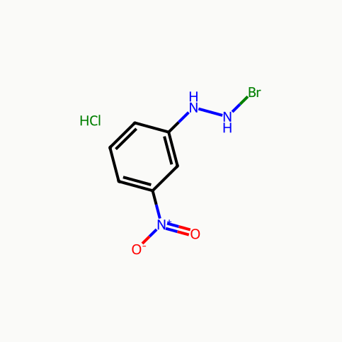 Cl.O=[N+]([O-])c1cccc(NNBr)c1